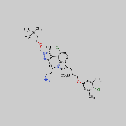 CCOC(=O)c1c(CCCOc2cc(C)c(Cl)c(C)c2)c2ccc(Cl)c(-c3c(C)nn(COCC[Si](C)(C)C)c3C)c2n1CCCN